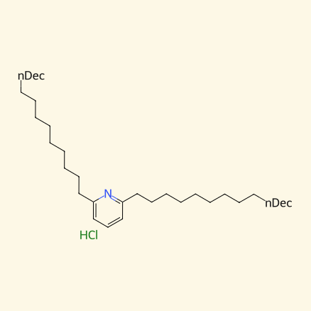 CCCCCCCCCCCCCCCCCCCc1cccc(CCCCCCCCCCCCCCCCCCC)n1.Cl